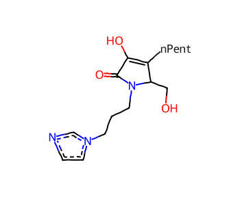 CCCCCC1=C(O)C(=O)N(CCCn2ccnc2)C1CO